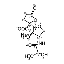 CC(O)C(=O)N[C@H]1CON(C2(C(=O)[O-])CCC(=O)O2)C1=O.[Na+]